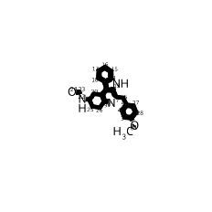 COc1ccc(Cc2nc3c(c4c2[nH]c2ccccc24)CC(NC=O)CC3)cc1